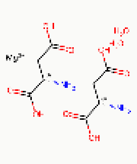 N[C@@H](CC(=O)O)C(=O)O.N[C@@H](CC(=O)O)C(=O)O.O.O.[Mg+2]